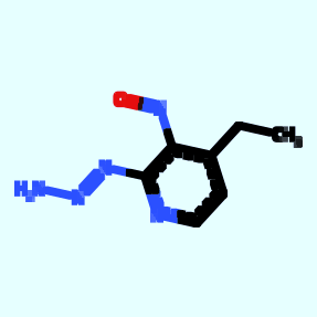 CCc1ccnc(N=NN)c1N=O